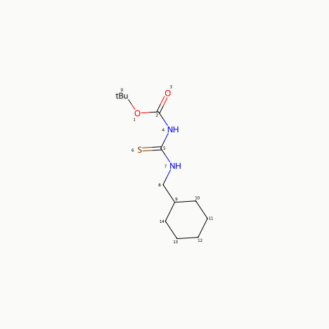 CC(C)(C)OC(=O)NC(=S)NCC1CCCCC1